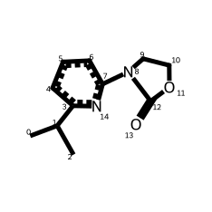 CC(C)c1cccc(N2CCOC2=O)n1